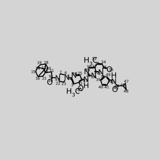 COc1cc(N2CCN(C(=O)CC34CC5CC(CC(C5)C3)C4)CC2)ncc1Nc1ncc2c(C)cc(=O)n(-c3cccc(NC(=O)C4CC4)c3)c2n1